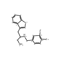 NCC(Cc1csc2ccccc12)NCc1ccc(F)c(F)c1